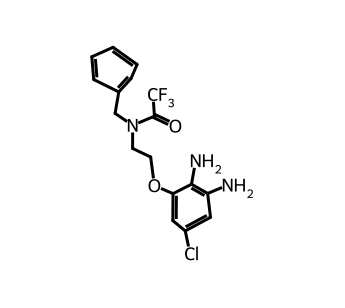 Nc1cc(Cl)cc(OCCN(Cc2ccccc2)C(=O)C(F)(F)F)c1N